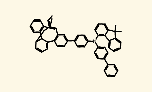 C/C=C1/CC2C=CC=C3c4ccc(-c5ccc(N(c6ccc(-c7ccccc7)cc6)c6cccc7c6-c6ccccc6C7(C)C)cc5)cc4/C1=C(/C)c1c#cccc1C32